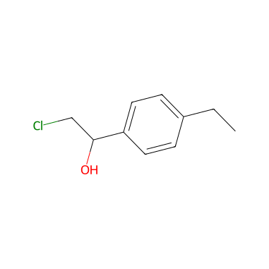 CCc1ccc(C(O)CCl)cc1